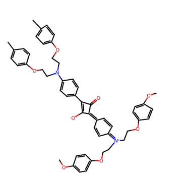 COc1ccc(OCC[N+](CCOc2ccc(OC)cc2)=C2C=CC(=C3C(=O)C(c4ccc(N(CCOc5ccc(C)cc5)CCOc5ccc(C)cc5)cc4)=C3[O-])C=C2)cc1